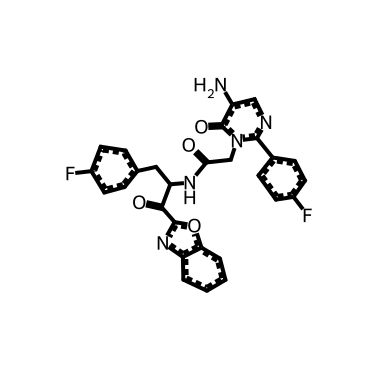 Nc1cnc(-c2ccc(F)cc2)n(CC(=O)NC(Cc2ccc(F)cc2)C(=O)c2nc3ccccc3o2)c1=O